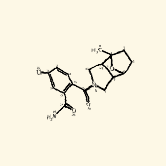 CC12CCC(O1)C1CN(C(=O)c3ccc(Cl)cc3C(N)=O)CC12